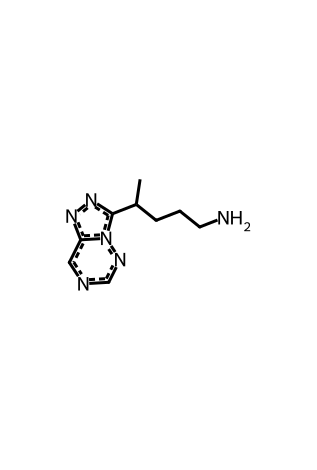 CC(CCCN)c1nnc2cncnn12